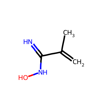 C=C(C)C(=N)NO